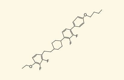 CCCCOc1ccc(-c2ccc(C3CCC(CCc4ccc(OCC)c(F)c4F)CC3)c(F)c2F)cc1